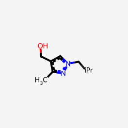 Cc1nn(CC(C)C)cc1CO